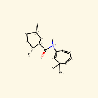 BC1(C)C=CC=CC(N(C)C(=O)C2C[C@H](C)CC[C@H]2C(C)C)=C1